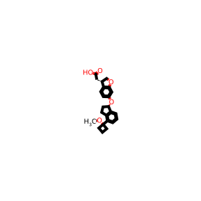 COC1(c2cccc3c2CC[C@H]3Oc2ccc3c(c2)OC[C@H]3CC(=O)O)CCC1